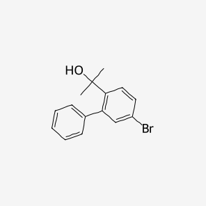 CC(C)(O)c1ccc(Br)cc1-c1ccccc1